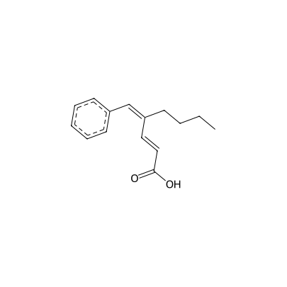 CCCCC(C=CC(=O)O)=Cc1ccccc1